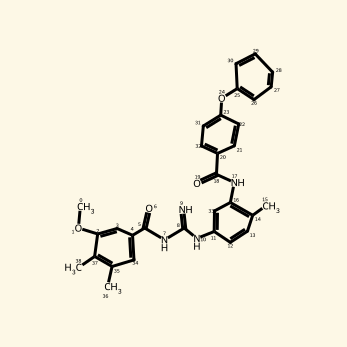 COc1cc(C(=O)NC(=N)Nc2ccc(C)c(NC(=O)c3ccc(Oc4ccccc4)cc3)c2)cc(C)c1C